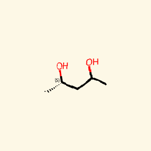 [CH2][C@H](O)CC(C)O